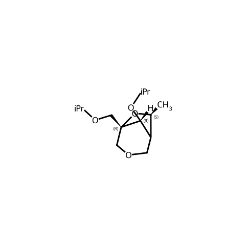 CC(C)OC[C@@]12COCC([C@H](C)O1)[C@H]2OC(C)C